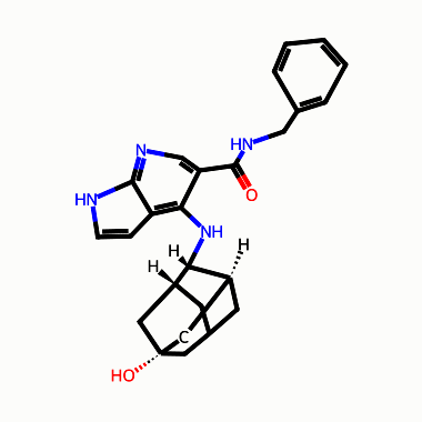 O=C(NCc1ccccc1)c1cnc2[nH]ccc2c1N[C@H]1[C@@H]2CC3C[C@H]1C[C@@](O)(C3)C2